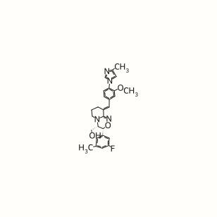 COc1cc(/C=C2\CCCN3C2=NO[C@H](c2cc(C)cc(F)c2)[C@@H]3CO)ccc1-n1cnc(C)c1